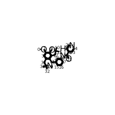 COc1cc2c(c3c1OC(C)(C)C3)C(c1cccc(NC(=O)c3ccncc3)c1)=NC(C)(C)C2